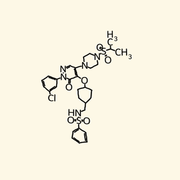 CC(C)S(=O)(=O)N1CCN(c2cnn(-c3cccc(Cl)c3)c(=O)c2OC2CCC(CNS(=O)(=O)c3ccccc3)CC2)CC1